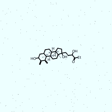 C=C1C(=C)[C@@]2(C)C(CC[C@@H]3[C@H]2CC[C@@]2(C)[C@H]3CCC2(O)CCC(O)C(=O)CC)CC1O